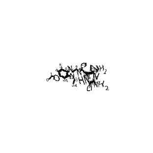 CCOc1ccc2nc(CNC(=O)c3nc(Cl)c(N)nc3N)n(CC)c2c1